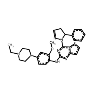 CCN1CCN(c2ccc(Nc3nc(N4N=CCC4c4ccccc4)c4sccc4n3)c(OC)c2)CC1